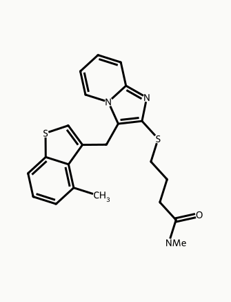 CNC(=O)CCCSc1nc2ccccn2c1Cc1csc2cccc(C)c12